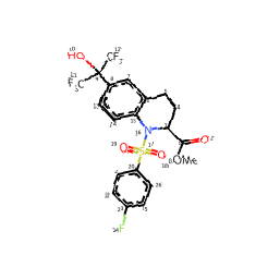 COC(=O)C1CCc2cc(C(O)(C(F)(F)F)C(F)(F)F)ccc2N1S(=O)(=O)c1ccc(F)cc1